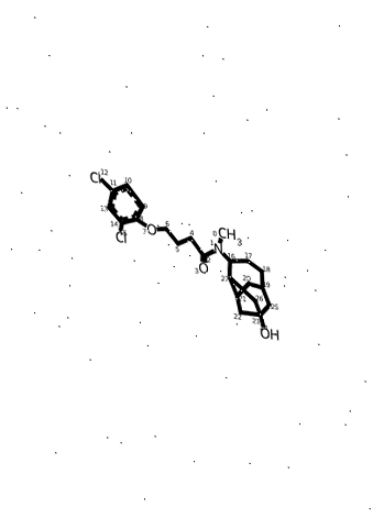 CN(C(=O)CCCOc1ccc(Cl)cc1Cl)C1CCC2CC3CC(O)(C2)CC31